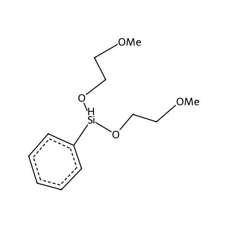 COCCO[SiH](OCCOC)c1ccccc1